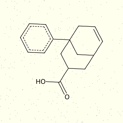 O=C(O)C1CC2C=CCC(c3ccccc3)(C2)C1